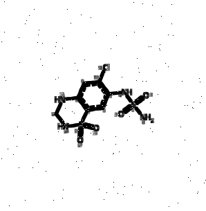 NS(=O)(=O)Nc1cc2c(cc1Cl)NCNS2(=O)=O